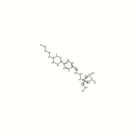 CCCCCC1CCC(c2ccc(OCCC[Si](OCC)(OCC)OCC)cc2)CC1